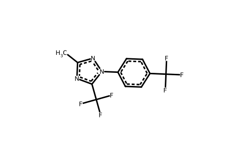 Cc1nc(C(F)(F)F)n(-c2ccc(C(F)(F)F)cc2)n1